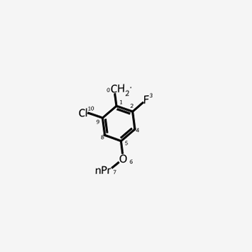 [CH2]c1c(F)cc(OCCC)cc1Cl